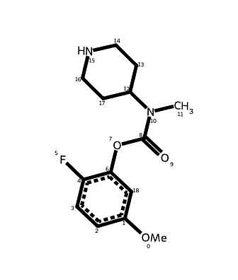 COc1ccc(F)c(OC(=O)N(C)C2CCNCC2)c1